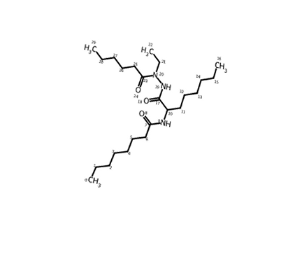 CCCCCCCC(=O)NC(CCCCCC)C(=O)NN(CC)C(=O)CCCCC